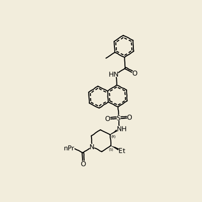 CCCC(=O)N1CC[C@@H](NS(=O)(=O)c2ccc(NC(=O)c3ccccc3C)c3ccccc23)[C@@H](CC)C1